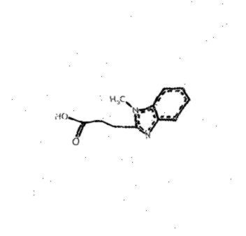 Cn1c(CCC(=O)O)nc2ccccc21